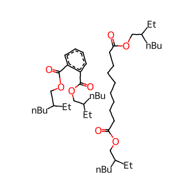 CCCCC(CC)COC(=O)CCCCCCCCC(=O)OCC(CC)CCCC.CCCCC(CC)COC(=O)c1ccccc1C(=O)OCC(CC)CCCC